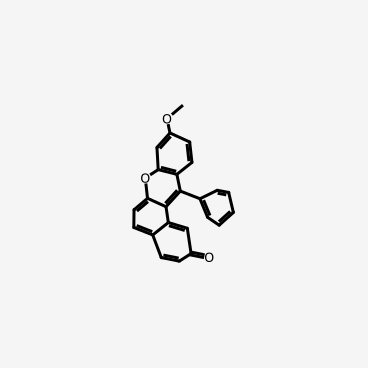 COc1ccc2c(-c3ccccc3)c3c(ccc4ccc(=O)cc43)oc2c1